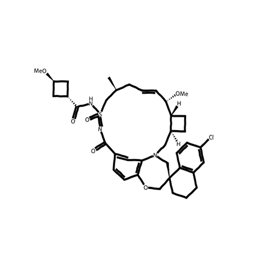 CO[C@H]1/C=C/C[C@H](C)CS(=O)(NC(=O)[C@H]2C[C@H](OC)C2)=NC(=O)c2ccc3c(c2)N(C[C@@H]2CC[C@H]21)C[C@@]1(CCCc2cc(Cl)ccc21)CO3